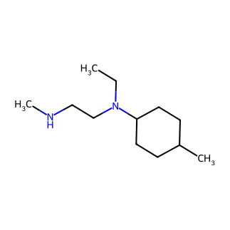 CCN(CCNC)C1CCC(C)CC1